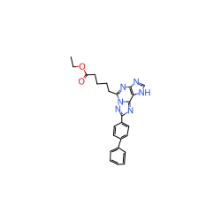 CCOC(=O)CCCCc1nc2nc[nH]c2c2nc(-c3ccc(-c4ccccc4)cc3)nn12